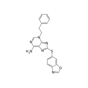 Nc1ncn(CCc2ccccc2)c2nc(Sc3ccc4ncoc4c3)nc1-2